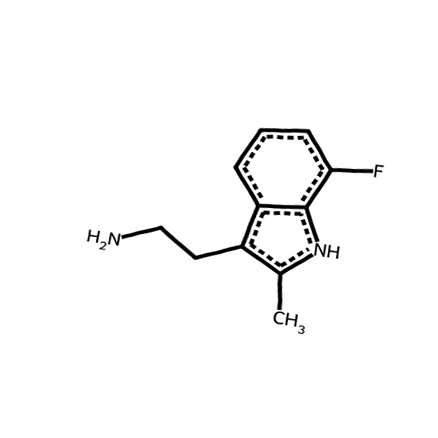 Cc1[nH]c2c(F)cccc2c1CCN